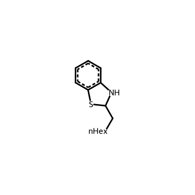 CCCCCCCC1Nc2ccccc2S1